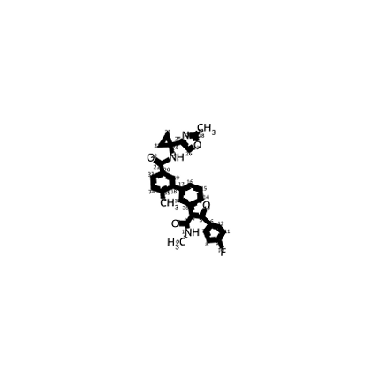 CNC(=O)c1c(-c2ccc(F)cc2)oc2ccc(-c3cc(C(=O)NC4(c5coc(C)n5)CC4)ccc3C)cc12